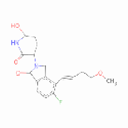 COCCC#Cc1c(F)ccc2c1CN(C1CCC(O)NC1=O)C2=O